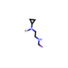 CCN(CCNCI)C1CC1